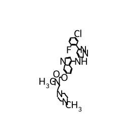 CN1CCN(CCN(C)C(=O)Oc2ccc3c(Nc4cnnc(-c5cc(Cl)ccc5F)c4)ccnc3c2)CC1